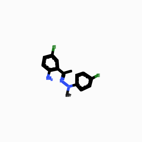 CCCN(/N=C(\C)c1cc(Cl)ccc1N)c1ccc(Cl)cc1